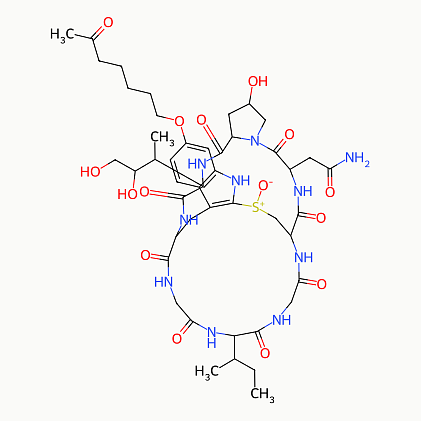 CCC(C)C1NC(=O)CNC(=O)C2Cc3c([nH]c4cc(OCCCCCC(C)=O)ccc34)[S+]([O-])CC(NC(=O)CNC1=O)C(=O)NC(CC(N)=O)C(=O)N1CC(O)CC1C(=O)NC(C(C)C(O)CO)C(=O)N2